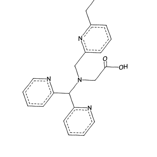 CCc1cccc(CN(CC(=O)O)C(c2ccccn2)c2ccccn2)n1